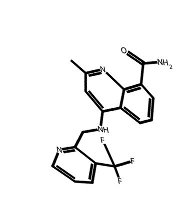 Cc1cc(NCc2ncccc2C(F)(F)F)c2cccc(C(N)=O)c2n1